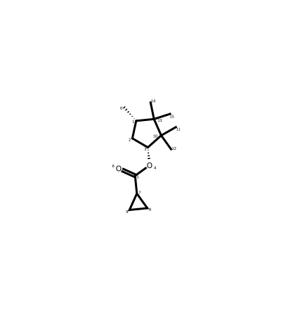 C[C@H]1C[C@@H](OC(=O)C2CC2)C(C)(C)C1(C)C